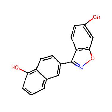 Oc1ccc2c(-c3ccc4c(O)cccc4c3)noc2c1